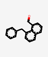 O=[C]c1cccc2cccc(Cc3ccccc3)c12